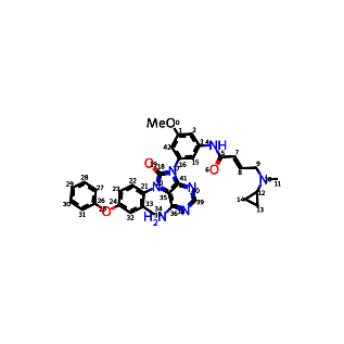 COc1cc(NC(=O)C=CCN(C)C2CC2)cc(-n2c(=O)n(-c3ccc(Oc4ccccc4)cc3C)c3c(N)ncnc32)c1